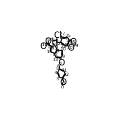 COc1ccc(COc2ccc3c(c2)cc(C(=O)O)n3Cc2cc3c(cc2Cl)OCO3)cc1